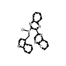 [O-][S+](Cc1ccnc2ccccc12)c1nc2ccccc2nc1-c1cnc2ccccc2n1